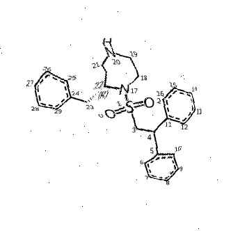 O=S(=O)(CC(c1ccccc1)c1ccccc1)N1CCNC[C@H]1Cc1ccccc1